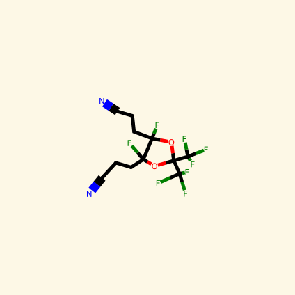 N#CCCC1(F)OC(C(F)(F)F)(C(F)(F)F)OC1(F)CCC#N